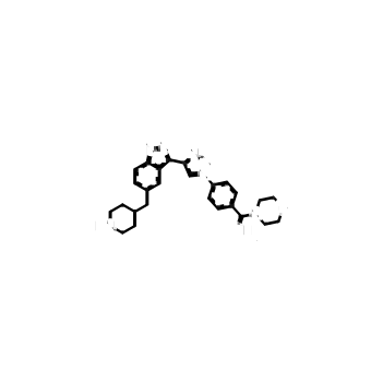 C=C(c1ccc(-n2cc(-c3n[nH]c4ccc(CC5CCNCC5)cc34)nn2)cc1)N1CCOCC1